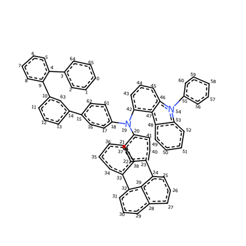 c1ccc(-c2ccccc2-c2cccc(-c3ccc(N(c4ccc(-c5cccc6cccc(-c7ccccc7)c56)cc4)c4cccc5c4c4ccccc4n5-c4ccccc4)cc3)c2)cc1